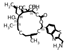 C=CC[C@H]1C(=O)C(C)(C)[C@@H](O)CC(=O)O[C@H](c2ccc3sc(CN)nc3c2)CC=C(C)CCC[C@H](C)[C@@H]1O